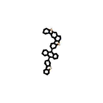 c1ccc2c(c1)sc1cc(-c3c4ccccc4c(-c4ccc5c(c4)sc4ccc6cc7sc8ccccc8c7cc6c45)c4ccccc34)ccc12